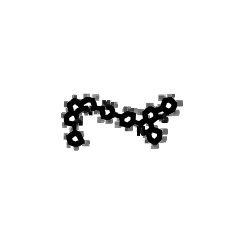 c1ccc(-c2ccc3ccc4ccc(-c5ccc(-c6ccc(-c7nc8ccccc8c8c7ccc7c9ccccc9sc78)cc6)cn5)nc4c3n2)cc1